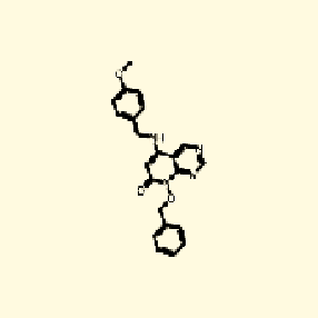 COc1ccc(CNc2cc(=O)n(OCc3ccccc3)c3ncncc23)cc1